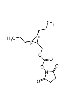 CCC[C@@H]1C(COC(=O)ON2C(=O)CCC2=O)[C@@H]1CCC